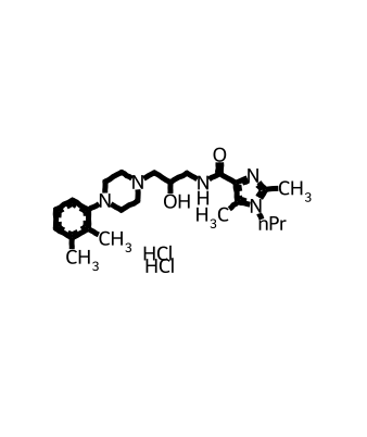 CCCn1c(C)nc(C(=O)NCC(O)CN2CCN(c3cccc(C)c3C)CC2)c1C.Cl.Cl